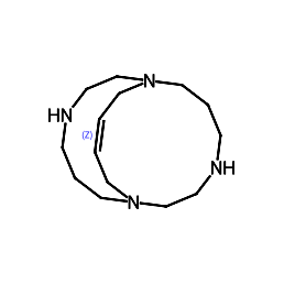 C1=C\CN2CCCNCCN(C/1)CCCNCC2